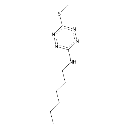 CCCCCCNc1nnc(SC)nn1